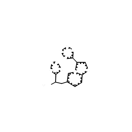 COC(Cc1ccc2ncc(-c3nnn[nH]3)n2c1)c1nnn[nH]1